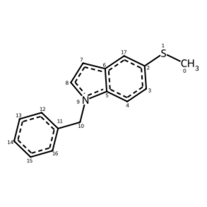 CSc1ccc2c(ccn2Cc2ccccc2)c1